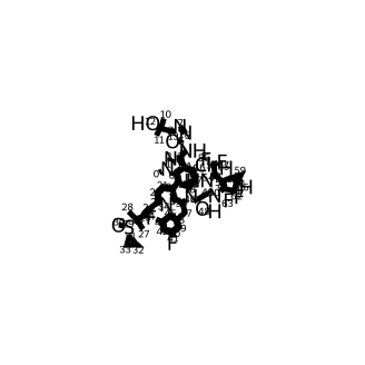 Cn1nc(Nc2nnc(C(C)(C)O)o2)c2c(Cl)ccc(-c3ccc(C#CC(C)(C)[S+]([O-])C4CC4)nc3C(Cc3cc(F)cc(F)c3)NC(=O)CNC3=C(C(=N)C(F)F)[C@H]4C[C@H]4C3(F)F)c21